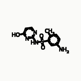 Cc1ccc(N)cc1S(=O)(=O)Nc1nccc(O)n1